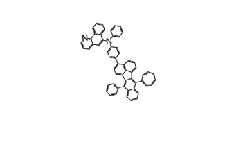 C1=CCC=CC(c2c3c(c(-c4ccccc4)c4ccccc24)-c2ccc(-c4ccc(N(c5ccccc5)c5cc6cccnc6c6ccccc56)cc4)c4cccc-3c24)=C1